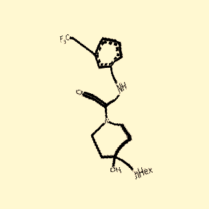 CCCCCCC1(O)CCN(C(=O)Nc2cccc(C(F)(F)F)c2)CC1